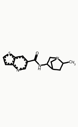 CC1CC2CN1CC2NC(=O)c1cnc2ccsc2c1